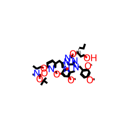 CCC[C@H](CCO)Oc1nc(N(Cc2ccc(OC)cc2OC)Cc2ccc(OC)cc2OC)c2ncc(Cc3ccc(OCC(C)N(C)C(=O)OC(C)(C)C)nc3)n2n1